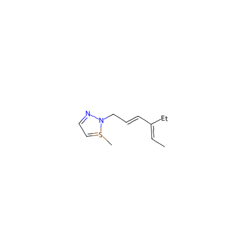 CC=C(C=CCN1N=CC=S1C)CC